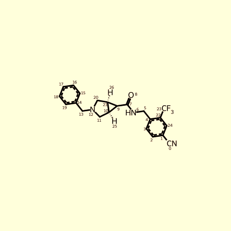 N#Cc1ccc(CNC(=O)C2[C@H]3CN(Cc4ccccc4)C[C@@H]23)c(C(F)(F)F)c1